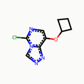 Clc1ncc(OC2CCC2)c2nncn12